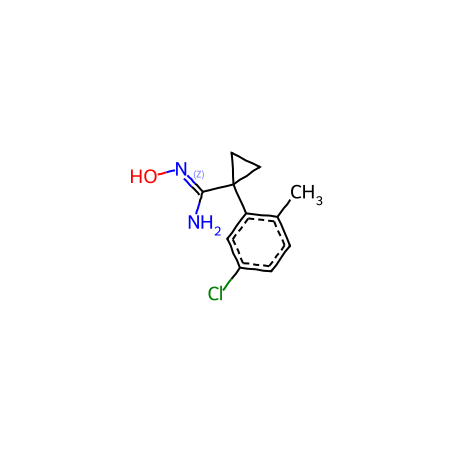 Cc1ccc(Cl)cc1C1(/C(N)=N/O)CC1